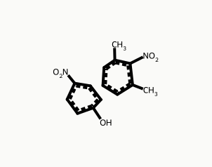 Cc1cccc(C)c1[N+](=O)[O-].O=[N+]([O-])c1ccc(O)cc1